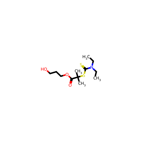 CCN(CC)C(=S)SC(C)(C)C(=O)OCCCO